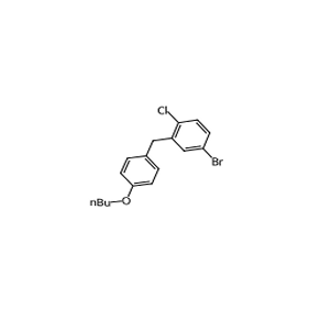 CCCCOc1ccc(Cc2cc(Br)ccc2Cl)cc1